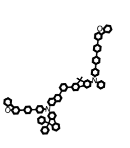 CC1(C)c2cc(-c3cccc(-c4ccc5cc(N(c6ccc(-c7ccc(-c8ccc9oc%10ccccc%10c9c8)cc7)cc6)c6ccc7c(c6)C(c6ccccc6)(c6ccccc6)c6ccccc6-7)ccc5c4)c3)ccc2-c2ccc(N(c3ccccc3)c3ccc(-c4ccc(-c5ccc(-c6ccc7oc8ccccc8c7c6)cc5)cc4)cc3)cc21